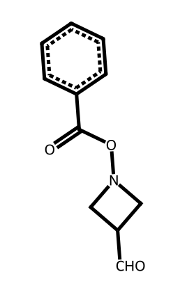 O=CC1CN(OC(=O)c2ccccc2)C1